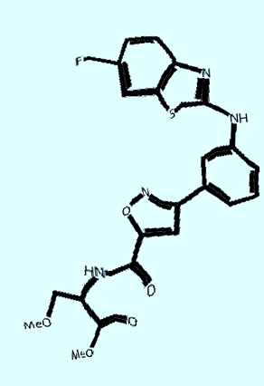 COCC(NC(=O)c1cc(-c2cccc(Nc3nc4ccc(F)cc4s3)c2)no1)C(=O)OC